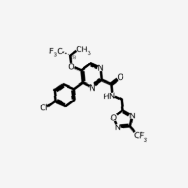 C[C@H](Oc1cnc(C(=O)NCc2nc(C(F)(F)F)no2)nc1-c1ccc(Cl)cc1)C(F)(F)F